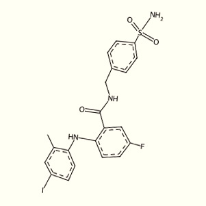 Cc1cc(I)ccc1Nc1ccc(F)cc1C(=O)NCc1ccc(S(N)(=O)=O)cc1